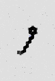 CCCCOC/C=C/c1ccccc1